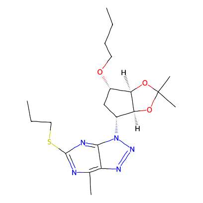 CCCCO[C@H]1C[C@@H](n2nnc3c(C)nc(SCCC)nc32)[C@@H]2OC(C)(C)O[C@@H]21